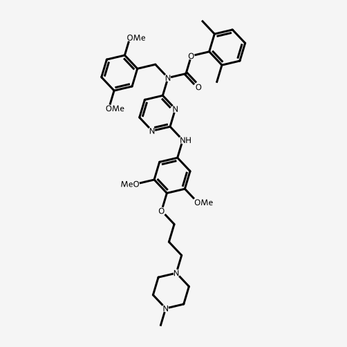 COc1ccc(OC)c(CN(C(=O)Oc2c(C)cccc2C)c2ccnc(Nc3cc(OC)c(OCCCN4CCN(C)CC4)c(OC)c3)n2)c1